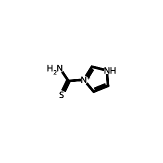 NC(=S)[n+]1cc[nH]c1